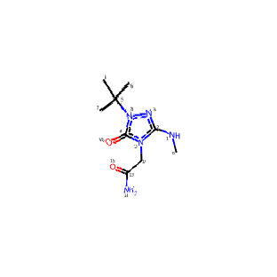 CNc1nn(C(C)(C)C)c(=O)n1CC(N)=O